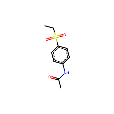 CCS(=O)(=O)c1ccc(NC(C)=O)cc1